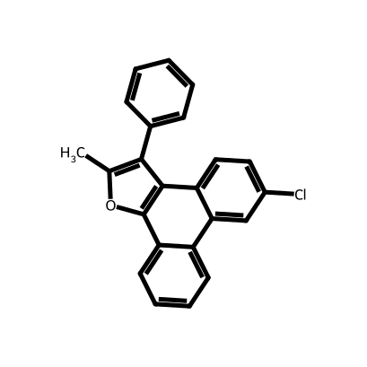 Cc1oc2c3ccccc3c3cc(Cl)ccc3c2c1-c1ccccc1